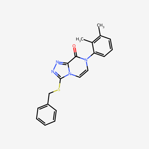 Cc1cccc(-n2ccn3c(SCc4ccccc4)nnc3c2=O)c1C